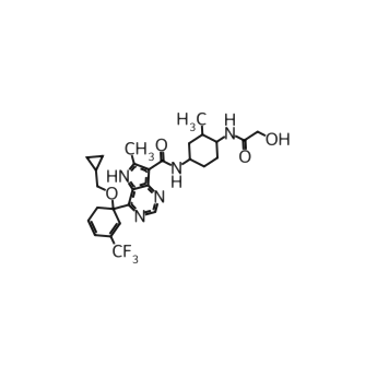 Cc1[nH]c2c(C3(OCC4CC4)C=C(C(F)(F)F)C=CC3)ncnc2c1C(=O)NC1CCC(NC(=O)CO)C(C)C1